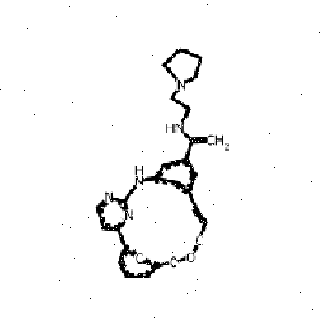 C=C(NCCN1CCCC1)c1cc2cc(c1)Nc1nccc(n1)-c1cccc(c1)COC/C=C/2